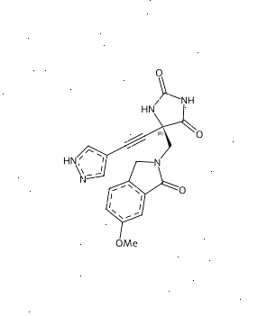 COc1ccc2c(c1)C(=O)N(C[C@@]1(C#Cc3cn[nH]c3)NC(=O)NC1=O)C2